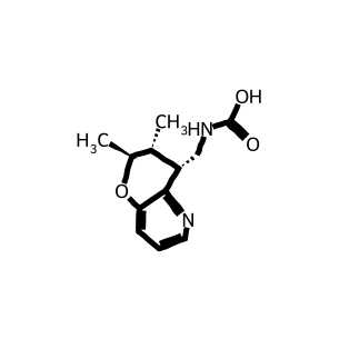 C[C@H]1[C@H](C)Oc2cccnc2[C@H]1CNC(=O)O